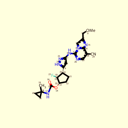 COCc1cn2c(Nc3cc([C@@H]4CC[C@H](OC(=O)NC5(C)CC5)[C@H]4F)[nH]n3)ncc(C#N)c2n1